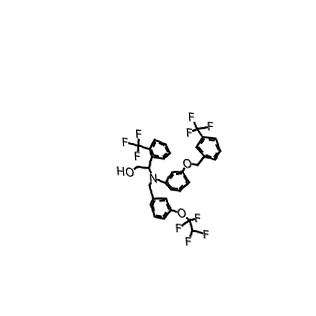 OCC(c1ccccc1C(F)(F)F)N(Cc1cccc(OC(F)(F)C(F)F)c1)c1cccc(OCc2cccc(C(F)(F)F)c2)c1